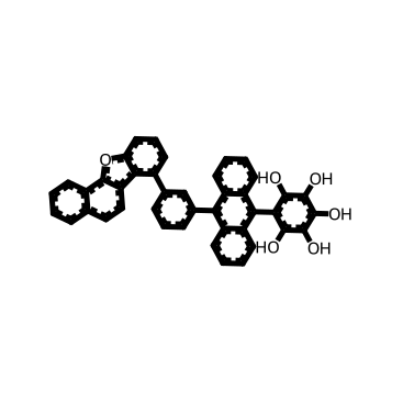 Oc1c(O)c(O)c(-c2c3ccccc3c(-c3cccc(-c4cccc5oc6c7ccccc7ccc6c45)c3)c3ccccc23)c(O)c1O